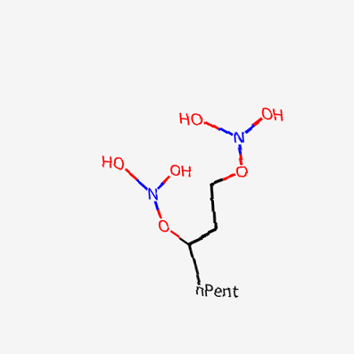 CCCCCC(CCON(O)O)ON(O)O